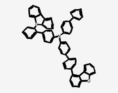 c1ccc(-c2ccc(N(c3ccc(-c4ccc(-c5cccc6oc7ccccc7c56)cc4)cc3)c3ccc(-c4ccccc4-n4c5ccccc5c5ccccc54)cc3)cc2)cc1